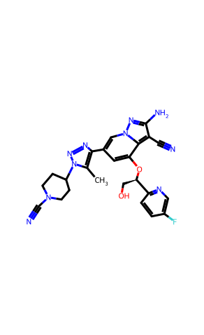 Cc1c(-c2cc(O[C@H](CO)c3ccc(F)cn3)c3c(C#N)c(N)nn3c2)nnn1C1CCN(C#N)CC1